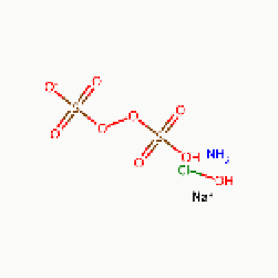 N.O=S(=O)([O-])OOS(=O)(=O)O.OCl.[Na+]